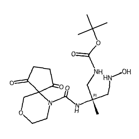 CC(C)(C)OC(=O)NC[C@](C)(CNO)NC(=O)N1CCOCC12C(=O)CCC2=O